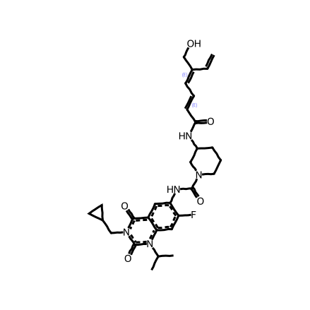 C=C/C(=C\C=C\C(=O)NC1CCCN(C(=O)Nc2cc3c(=O)n(CC4CC4)c(=O)n(C(C)C)c3cc2F)C1)CO